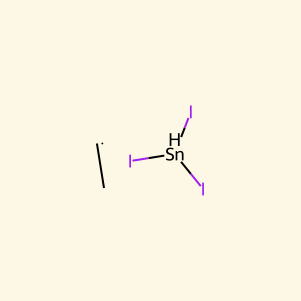 [CH2]C.[I][SnH]([I])[I]